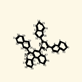 c1ccc2cc(-c3cc(-c4ccc5ccccc5c4)nc(-c4cc5c(-c6ccc7ccccc7c6)nc6ccccc6c5c5ccccc45)n3)ccc2c1